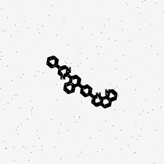 c1ccc(-c2cnc(-c3ccc(-c4ccc(-c5ccc6ccc7cccnc7c6n5)cc4)c4ccccc34)nc2)cc1